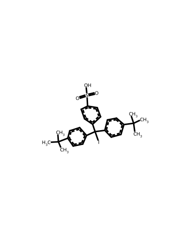 CC(C)(C)c1ccc(C(I)(c2ccc(C(C)(C)C)cc2)c2ccc(S(=O)(=O)O)cc2)cc1